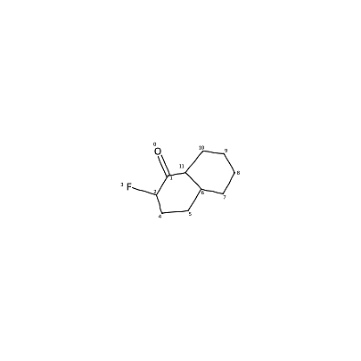 O=C1C(F)CCC2CCCCC12